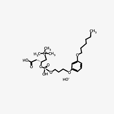 CCCCCCOc1cccc(OCCCOP(=O)(O)O[C@H](CC(=O)O)C[N+](C)(C)C)c1.[OH-]